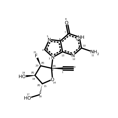 C#C[C@@]1(n2cnc3c(=O)[nH]c(N)nc32)O[C@H](CO)[C@@H](O)[C@H]1F